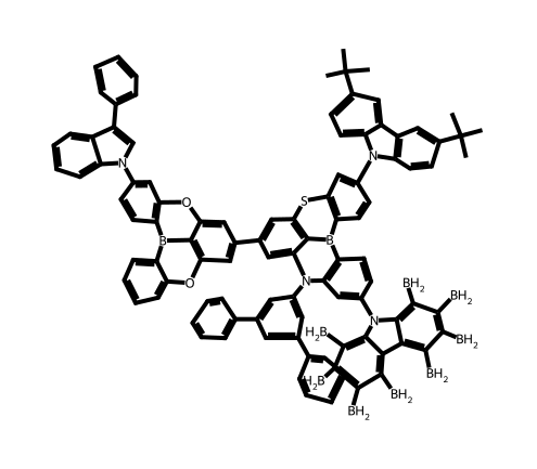 Bc1c(B)c(B)c2c(c1B)c1c(B)c(B)c(B)c(B)c1n2-c1ccc2c(c1)N(c1cc(-c3ccccc3)cc(-c3ccccc3)c1)c1cc(-c3cc4c5c(c3)Oc3cc(-n6cc(-c7ccccc7)c7ccccc76)ccc3B5c3ccccc3O4)cc3c1B2c1ccc(-n2c4ccc(C(C)(C)C)cc4c4cc(C(C)(C)C)ccc42)cc1S3